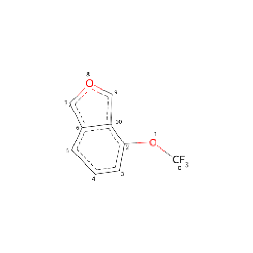 FC(F)(F)Oc1cccc2[c]occ12